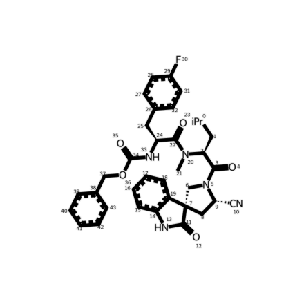 CC(C)C[C@@H](C(=O)N1C[C@]2(C[C@H]1C#N)C(=O)Nc1ccccc12)N(C)C(=O)[C@H](Cc1ccc(F)cc1)NC(=O)OCc1ccccc1